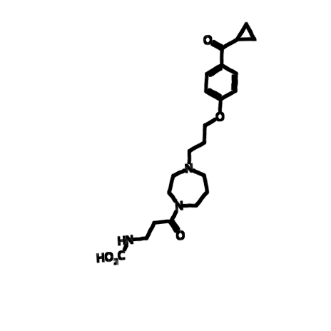 O=C(O)NCCC(=O)N1CCCN(CCCOc2ccc(C(=O)C3CC3)cc2)CC1